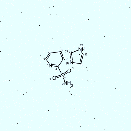 NS(=O)(=O)c1ncccn1.c1c[nH]nn1